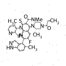 C=CC(=O)N1CCN(c2c(C(=O)NC)c(=S)n(-c3c(C)ccnc3C(C)C)c3nc(-c4c(C)ccc5[nH]ncc45)c(F)cc23)[C@@H](C)C1